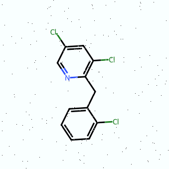 Clc1[c]c(Cl)c(Cc2ccccc2Cl)nc1